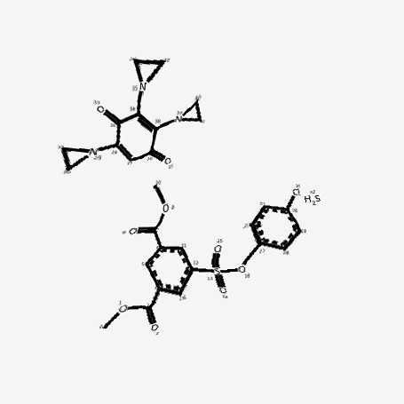 COC(=O)c1cc(C(=O)OC)cc(S(=O)(=O)Oc2ccc(Cl)cc2)c1.O=C1C=C(N2CC2)C(=O)C(N2CC2)=C1N1CC1.S